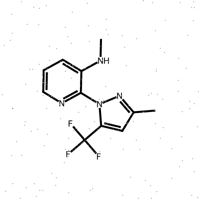 CNc1cccnc1-n1nc(C)cc1C(F)(F)F